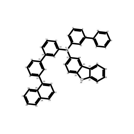 c1ccc(-c2cccc(N(c3cccc(-c4cccc(-c5cccc6ccccc56)c4)c3)c3ccc4oc5ccccc5c4c3)c2)cc1